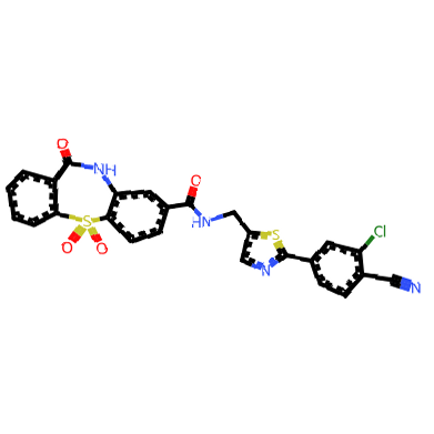 N#Cc1ccc(-c2ncc(CNC(=O)c3ccc4c(c3)NC(=O)c3ccccc3S4(=O)=O)s2)cc1Cl